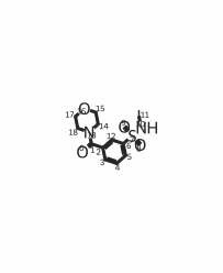 O=C(c1cccc(S(=O)(=O)NI)c1)N1CCOCC1